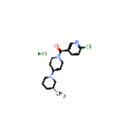 C[C@@H]1CCCN(C2CCN(C(=O)c3ccc(Cl)nc3)CC2)C1.Cl